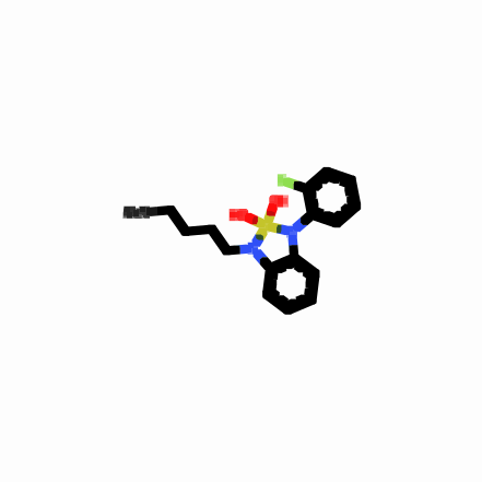 CNCCCCN1c2ccccc2N(c2ccccc2F)S1(O)O